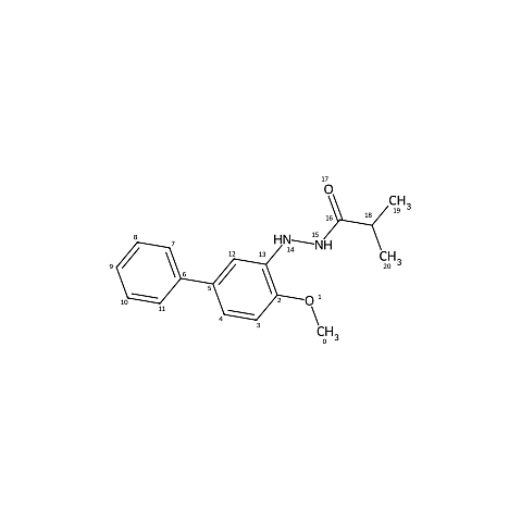 COc1ccc(-c2ccccc2)cc1NNC(=O)C(C)C